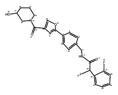 O=C(NCc1ccc(-c2nc(C(=O)N3CCCC(O)C3)co2)cc1)C(F)c1ccccc1F